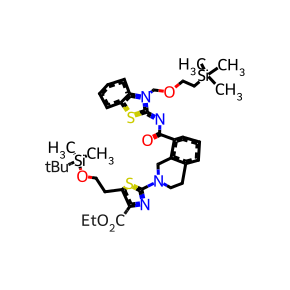 CCOC(=O)c1nc(N2CCc3cccc(C(=O)/N=c4\sc5ccccc5n4COCC[Si](C)(C)C)c3C2)sc1CCO[Si](C)(C)C(C)(C)C